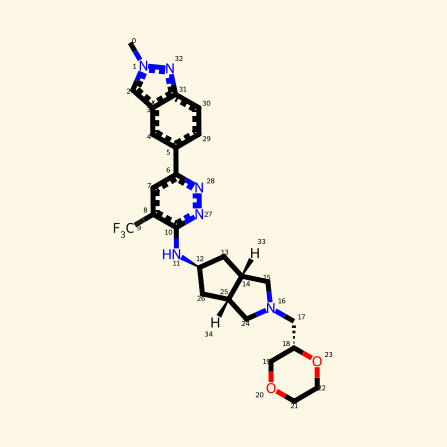 Cn1cc2cc(-c3cc(C(F)(F)F)c(N[C@H]4C[C@@H]5CN(C[C@H]6COCCO6)C[C@@H]5C4)nn3)ccc2n1